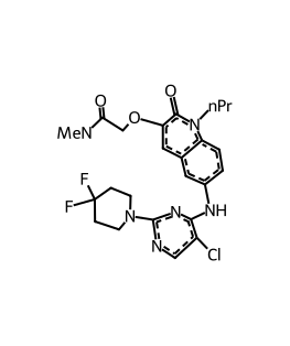 CCCn1c(=O)c(OCC(=O)NC)cc2cc(Nc3nc(N4CCC(F)(F)CC4)ncc3Cl)ccc21